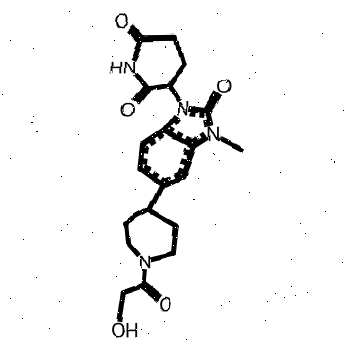 Cn1c(=O)n(C2CCC(=O)NC2=O)c2ccc(C3CCN(C(=O)CO)CC3)cc21